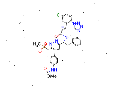 COC(=O)Nc1ccc(-c2cc(C(Cc3ccccc3)NC(=O)/C=C/c3cc(Cl)ccc3-n3cnnn3)nnc2CS(C)(=O)=O)cc1